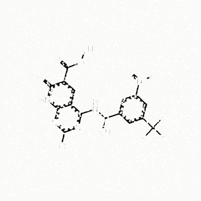 COC(=O)c1cc2c(N[C@H](C)c3cc([N+](=O)[O-])cc(C(F)(F)F)c3)nc(C)nc2[nH]c1=O